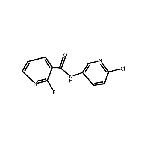 O=C(Nc1ccc(Cl)nc1)c1cccnc1F